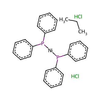 CCC.Cl.Cl.c1ccc([P]([Ni][P](c2ccccc2)c2ccccc2)c2ccccc2)cc1